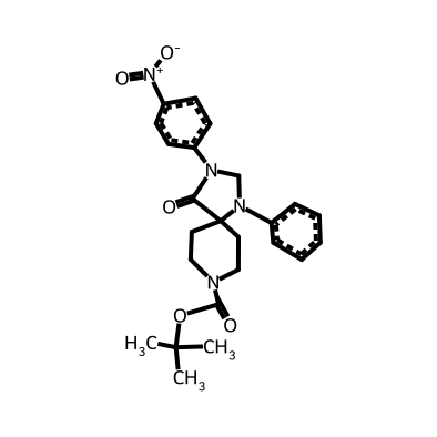 CC(C)(C)OC(=O)N1CCC2(CC1)C(=O)N(c1ccc([N+](=O)[O-])cc1)CN2c1ccccc1